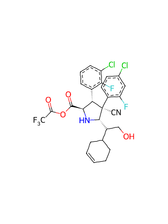 N#C[C@]1(c2ccc(Cl)cc2F)[C@H](C(CO)C2CC=CCC2)N[C@@H](C(=O)OC(=O)C(F)(F)F)[C@@H]1c1cccc(Cl)c1F